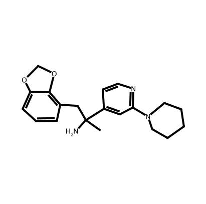 CC(N)(Cc1cccc2c1OCO2)c1ccnc(N2CCCCC2)c1